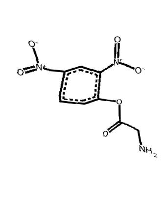 NCC(=O)Oc1ccc([N+](=O)[O-])cc1[N+](=O)[O-]